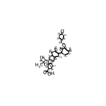 CC1(C)COC[C@H]1n1c(Cc2c(F)cc(-c3ccc(F)c(OCc4ccc(Cl)cc4)n3)c(F)c2F)nc2ccc(C(=O)O)cc21